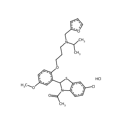 COc1ccc(OCCCN(Cc2ccco2)C(C)C)c(C2Sc3cc(Cl)ccc3N2C(C)=O)c1.Cl